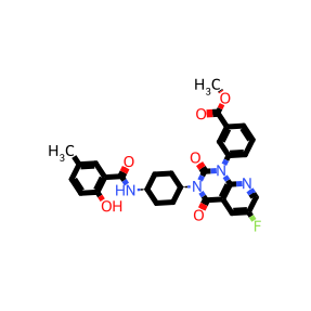 COC(=O)c1cccc(-n2c(=O)n([C@H]3CC[C@@H](NC(=O)c4cc(C)ccc4O)CC3)c(=O)c3cc(F)cnc32)c1